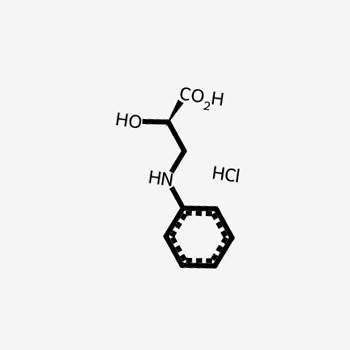 Cl.O=C(O)[C@H](O)CNc1ccccc1